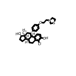 C[C@]12C[C@H](c3ccc(OCCN4CCSC4)cc3)[C@@H]3c4ccc(O)c(Cl)c4CC[C@H]3[C@@H]1CC[C@@H]2O